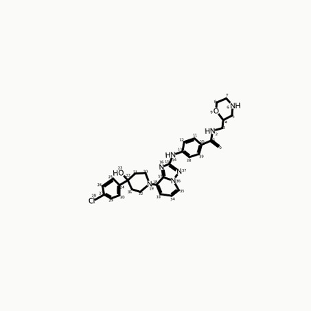 C=C(NCC1CNCCO1)c1ccc(Nc2nc3c(N4CCC(O)(c5ccc(Cl)cc5)CC4)cccn3n2)cc1